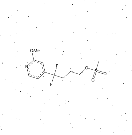 COc1cc(C(F)(F)CCCOS(C)(=O)=O)ccn1